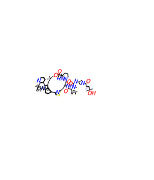 CCn1c(-c2cccnc2[C@H](C)OC)c2c3cc(ccc31)-c1csc(n1)C[C@H](NC(=O)C(C(C)C)N(C)C(=O)N(C)C1CN(C(=O)/C=C/C(C)(C)O)C1)C(=O)N1CCC[C@H](N1)C(=O)OCC(C)(C)C2